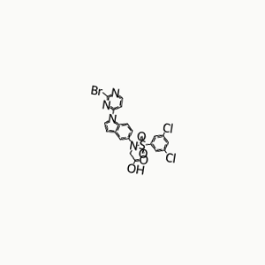 O=C(O)CN(c1ccc2c(ccn2-c2ccnc(Br)n2)c1)S(=O)(=O)c1cc(Cl)cc(Cl)c1